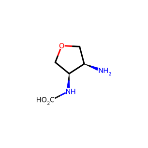 N[C@@H]1COC[C@@H]1NC(=O)O